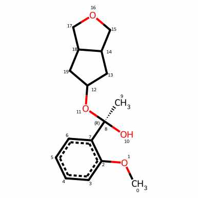 COc1ccccc1[C@](C)(O)OC1CC2COCC2C1